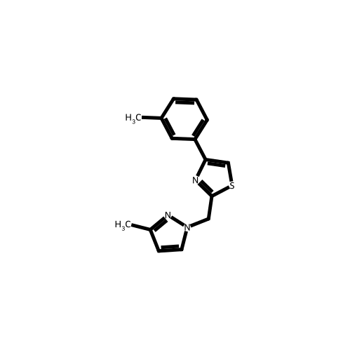 Cc1cccc(-c2csc(Cn3ccc(C)n3)n2)c1